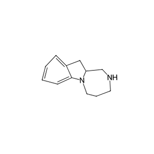 c1ccc2c(c1)CC1CNCCCN21